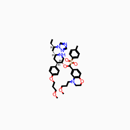 CC[C@H](C[C@H]1C[C@H](c2ccc(OCCCOC)cc2)[C@@H](OC(c2ccc3c(c2)N(CCCOC)CCO3)S(=O)(=O)c2ccc(C)cc2)CN1)n1cncn1